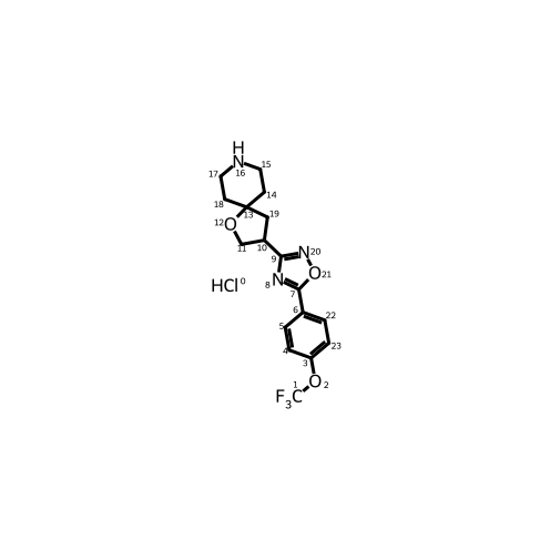 Cl.FC(F)(F)Oc1ccc(-c2nc(C3COC4(CCNCC4)C3)no2)cc1